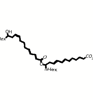 CCCCCCC(O)C/C=C\CCCCCCCC(=O)OC(CC=CCCCCCCCC(=O)O)CCCCCC